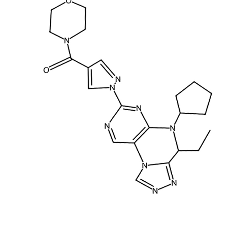 CCC1c2nncn2-c2cnc(-n3cc(C(=O)N4CCOCC4)cn3)nc2N1C1CCCC1